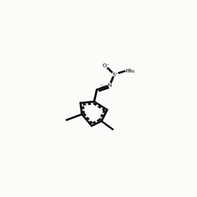 Cc1cc(C)cc(/C=N/[S+]([O-])C(C)(C)C)c1